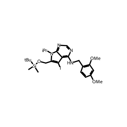 COc1ccc(CNc2ncnc3c2c(I)c(CO[Si](C)(C)C(C)(C)C)n3C(C)C)c(OC)c1